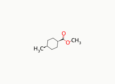 COC(=O)[C@H]1CC[C@@H](C)CC1